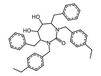 CCc1ccc(CN2C(=O)N(Cc3ccc(CC)cc3)C(Cc3ccccc3)C(O)C(O)C2Cc2ccccc2)cc1